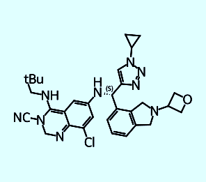 CC(C)(C)CNC1=c2cc(N[C@H](c3cn(C4CC4)nn3)c3cccc4c3CN(C3COC3)C4)cc(Cl)c2=NCN1C#N